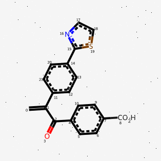 C=C(C(=O)c1ccc(C(=O)O)cc1)c1ccc(-c2nccs2)cc1